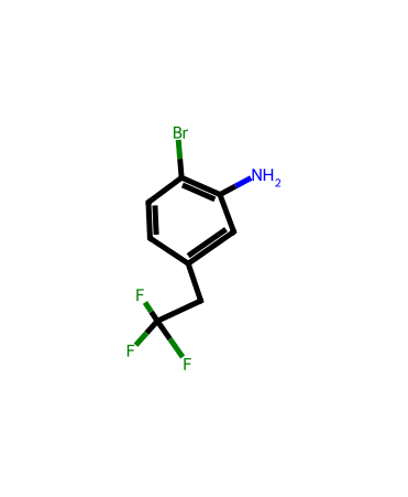 Nc1cc(CC(F)(F)F)ccc1Br